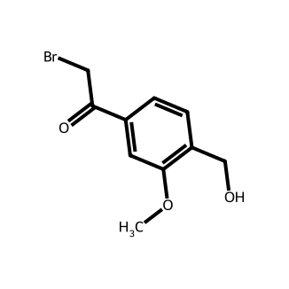 COc1cc(C(=O)CBr)ccc1CO